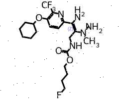 CN(N)/C(CNC(=O)OCCCCF)=C(\N)c1ccc(OC2CCCCC2)c(C(F)(F)F)n1